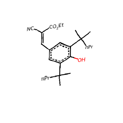 CCCC(C)(C)c1cc(C=C(C#N)C(=O)OCC)cc(C(C)(C)CCC)c1O